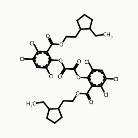 CCC1CCCC1CCOC(=O)c1c(Cl)c(Cl)cc(Cl)c1OC(=O)C(=O)Oc1c(Cl)cc(Cl)c(Cl)c1C(=O)OCCC1CCCC1CC